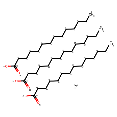 CCCCCCCCCCCCCC(=O)[O-].CCCCCCCCCCCCCC(=O)[O-].CCCCCCCCCCCCCC(=O)[O-].[Fe+3]